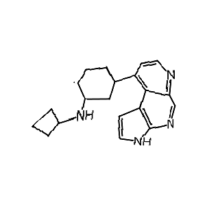 [CH]1CCC(c2ccnc3cnc4[nH]ccc4c23)CC1NC1CCC1